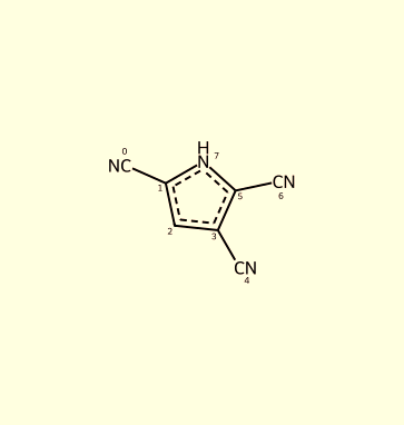 N#Cc1cc(C#N)c(C#N)[nH]1